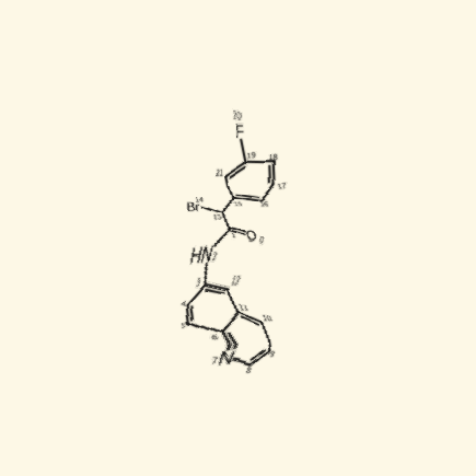 O=C(Nc1ccc2ncccc2c1)C(Br)c1cccc(F)c1